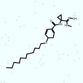 CCCCCCCCCCCOC1C=CC(C(=O)NC2(/C(=N/O)NC)CC2)=CC1